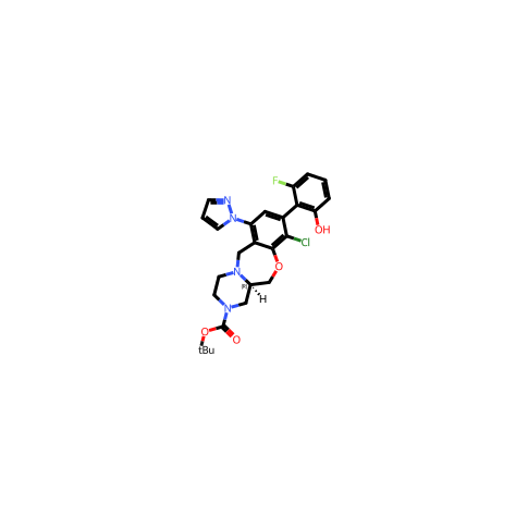 CC(C)(C)OC(=O)N1CCN2Cc3c(-n4cccn4)cc(-c4c(O)cccc4F)c(Cl)c3OC[C@H]2C1